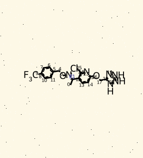 C/C(=N\OCc1ccc(C(F)(F)F)cc1)c1ccc(OCC2=NNNN2)nc1Cl